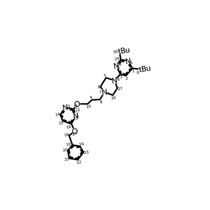 CC(C)(C)c1cc(N2CCN(CCCOc3nccc(OCc4ccccc4)n3)CC2)nc(C(C)(C)C)n1